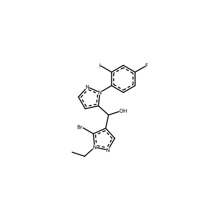 CCn1ncc(C(O)c2ccnn2-c2ccc(F)cc2I)c1Br